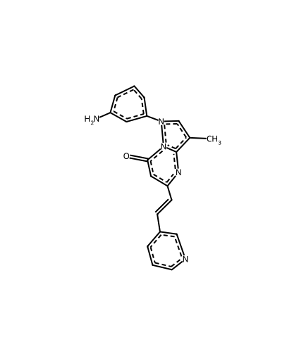 Cc1cn(-c2cccc(N)c2)n2c(=O)cc(/C=C/c3cccnc3)nc12